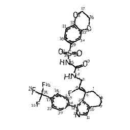 O=C(NCC(F)=C1CCCc2cnn(-c3ccc(C(F)(F)F)cc3)c21)NS(=O)(=O)c1ccc2c(c1)OCCO2